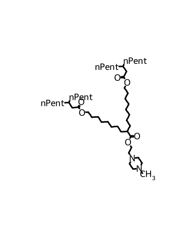 CCCCCC(CCCCC)CC(=O)OCCCCCCCCC(CCCCCCCCOC(=O)CC(CCCCC)CCCCC)C(=O)OCCN1CCN(C)CC1